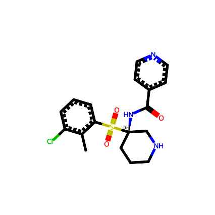 Cc1c(Cl)cccc1S(=O)(=O)[C@@]1(NC(=O)c2ccncc2)CCCNC1